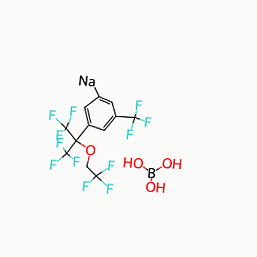 FC(F)(F)COC(c1c[c]([Na])cc(C(F)(F)F)c1)(C(F)(F)F)C(F)(F)F.OB(O)O